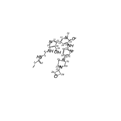 C=C(CC)NCCNc1cncc(-c2cc(Nc3ccc(N4CCN(C5COC5)CC4)cn3)c(=O)n(C)c2)c1CO